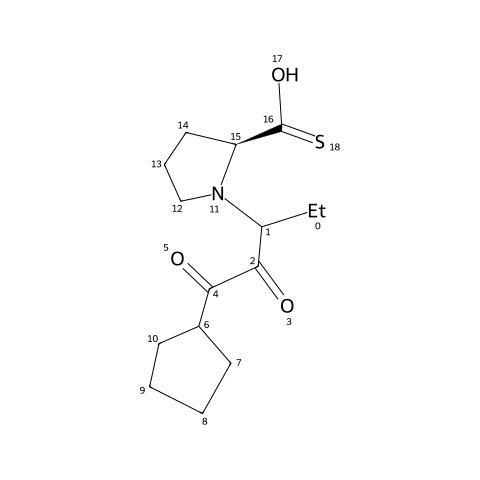 CCC(C(=O)C(=O)C1CCCC1)N1CCC[C@H]1C(O)=S